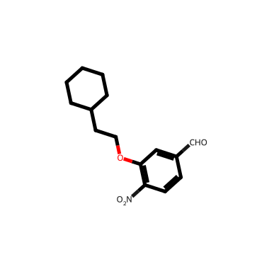 O=Cc1ccc([N+](=O)[O-])c(OCCC2CCCCC2)c1